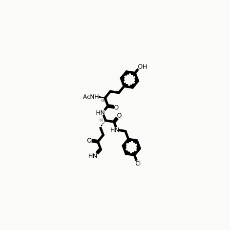 CC(=O)N[C@@H](CCc1ccc(O)cc1)C(=O)N[C@@H](CCC(=O)C=N)C(=O)NCc1ccc(Cl)cc1